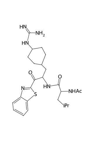 CC(=O)NC(CC(C)C)C(=O)NC(CC1CCC(NC(=N)N)CC1)C(=O)c1nc2ccccc2s1